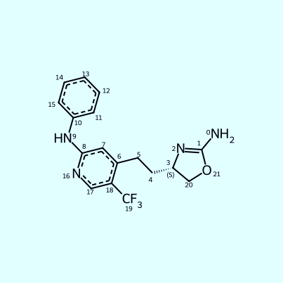 NC1=N[C@@H](CCc2cc(Nc3ccccc3)ncc2C(F)(F)F)CO1